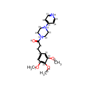 COc1cc(CCC(=O)N2CCN(c3ccncc3)CC2)cc(OC)c1OC